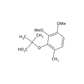 COc1ccc(C)c(OC(C)(C)C(=O)O)c1OC